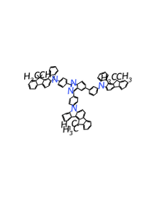 CC1(C)c2ccccc2-c2ccc3c(c21)c1ccccc1n3-c1ccc(-c2nc(-c3ccc(-n4c5ccccc5c5c6c(ccc54)-c4ccccc4C6(C)C)cc3)c3cc(-c4cccc(-n5c6ccccc6c6c7c(ccc65)-c5ccccc5C7(C)C)c4)ccc3n2)cc1